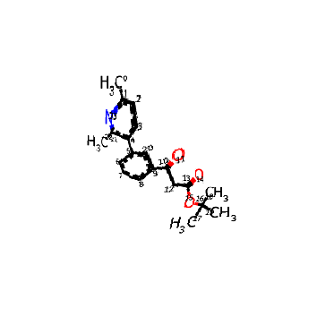 Cc1ccc(-c2cccc(C(=O)CC(=O)OC(C)(C)C)c2)c(C)n1